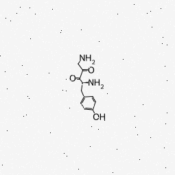 NCC(=O)C(=O)[C@@H](N)Cc1ccc(O)cc1